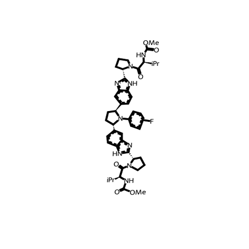 COC(=O)N[C@H](C(=O)N1CCC[C@H]1c1nc2cc([C@@H]3CC[C@@H](c4ccc5[nH]c([C@@H]6CCCN6C(=O)[C@@H](NC(=O)OC)C(C)C)nc5c4)N3c3ccc(F)cc3)ccc2[nH]1)C(C)C